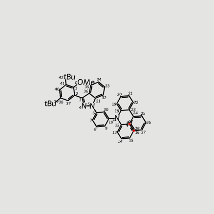 COc1c(-c2nn(-c3cccc(N(c4ccccn4)c4ccccc4-c4ccccc4)c3)c3ccccc23)cc(C(C)(C)C)cc1C(C)(C)C